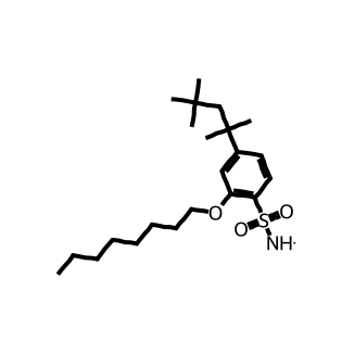 CCCCCCCCOc1cc(C(C)(C)CC(C)(C)C)ccc1S([NH])(=O)=O